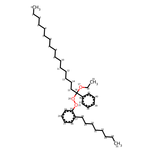 CCCCCCCCCCCCCCCCC(OCC)(OOc1ccccc1CCCCCCCC)c1ccccc1